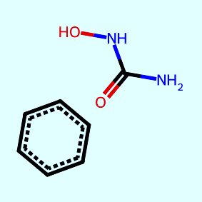 NC(=O)NO.c1ccccc1